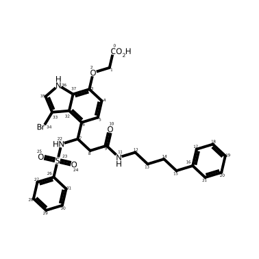 O=C(O)COc1ccc(C(CC(=O)NCCCCc2ccccc2)NS(=O)(=O)c2ccccc2)c2c(Br)c[nH]c12